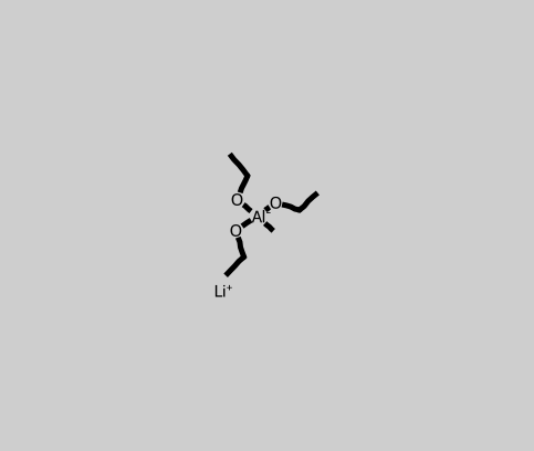 CC[O][Al-]([CH3])([O]CC)[O]CC.[Li+]